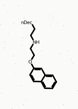 CCCCCCCCCCCCNCCOc1ccc2ccccc2c1